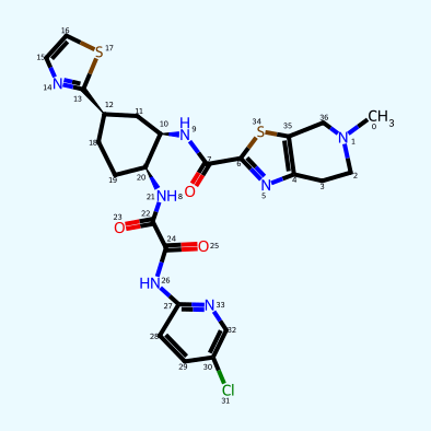 CN1CCc2nc(C(=O)N[C@@H]3C[C@H](c4nccs4)CC[C@@H]3NC(=O)C(=O)Nc3ccc(Cl)cn3)sc2C1